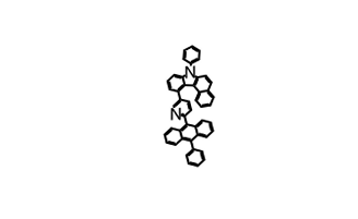 c1ccc(-c2c3ccccc3c(-c3ccc(-c4cccc5c4c4c6ccccc6ccc4n5-c4ccccc4)cn3)c3ccccc23)cc1